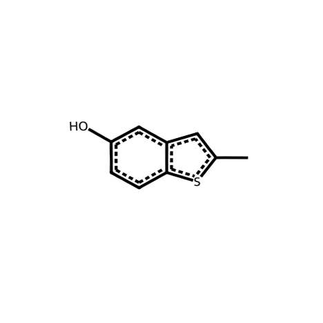 Cc1cc2cc(O)ccc2s1